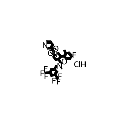 Cc1cc(F)ccc1C1CN(S(=O)(=O)c2cccnc2)CCC1C(=O)N(C)Cc1cc(C(F)(F)F)cc(C(F)(F)F)c1.Cl